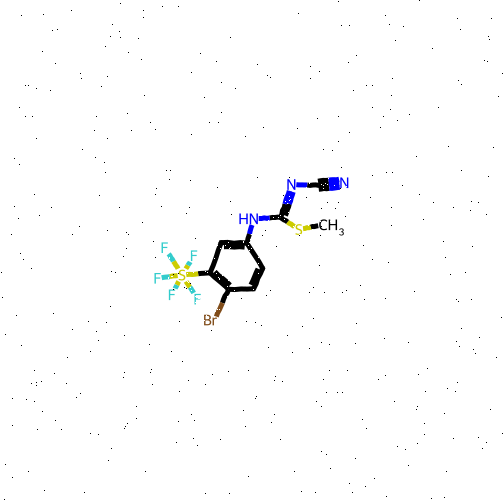 CS/C(=N\C#N)Nc1ccc(Br)c(S(F)(F)(F)(F)F)c1